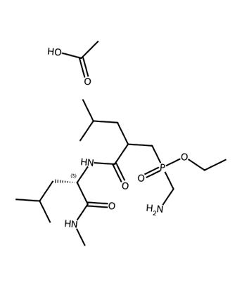 CC(=O)O.CCOP(=O)(CN)CC(CC(C)C)C(=O)N[C@@H](CC(C)C)C(=O)NC